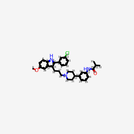 COc1ccc2[nH]c(-c3cccc(Cl)c3)c(CCCN3CCC(c4cccc(NC(=O)C(C)C)c4)CC3)c2c1